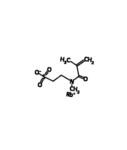 C=C(C)C(=O)N(C)CCS(=O)(=O)[O-].[Rb+]